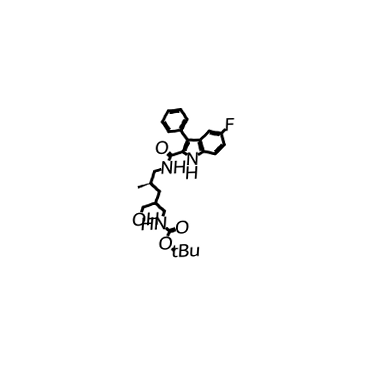 C[C@@H](CNC(=O)c1[nH]c2ccc(F)cc2c1-c1ccccc1)CC(CO)CNC(=O)OC(C)(C)C